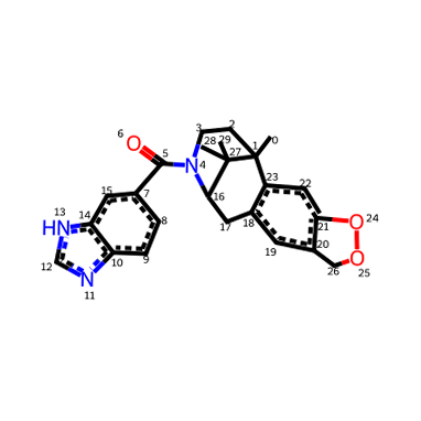 CC12CCN(C(=O)c3ccc4nc[nH]c4c3)C(Cc3cc4c(cc31)OOC4)C2(C)C